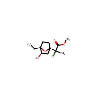 CC[C@]12CC[C@](C(C)(Cl)C(=O)OC)(C[C@H]1O)O2